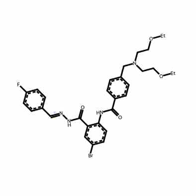 CCOCCN(CCOCC)Cc1ccc(C(=O)Nc2ccc(Br)cc2C(=O)N/N=C/c2ccc(F)cc2)cc1